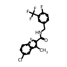 Cc1c(C(=O)NCc2ccc(F)c(C(F)(F)F)c2)sc2ccc(Cl)cc12